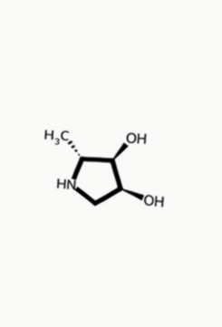 C[C@H]1NC[C@H](O)[C@@H]1O